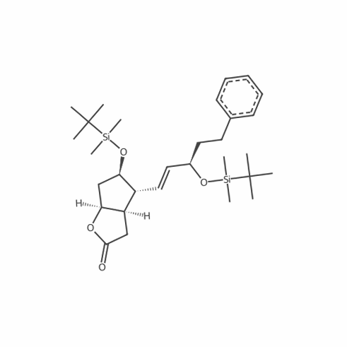 CC(C)(C)[Si](C)(C)O[C@@H](/C=C/[C@@H]1[C@H]2CC(=O)O[C@H]2C[C@H]1O[Si](C)(C)C(C)(C)C)CCc1ccccc1